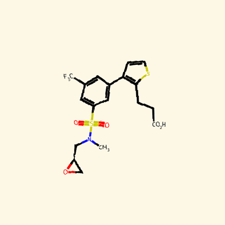 CN(C[C@H]1CO1)S(=O)(=O)c1cc(-c2ccsc2CCC(=O)O)cc(C(F)(F)F)c1